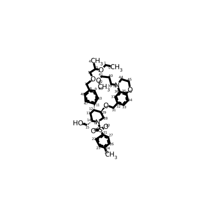 CCOC(C)COCc1ccc([C@H]2C[C@@H](CO)N(S(=O)(=O)c3ccc(C)cc3)C[C@@H]2OCc2ccc3c(c2)N(CCCOC)CCO3)cc1